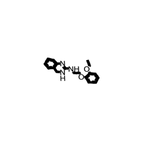 CCOc1ccccc1OCCNC1=Nc2ccccc2CN1